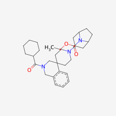 CCOC(=O)N1C2CCC1CC(N1CCC3(CC1)CN(C(=O)C1CCCCC1)Cc1ccccc13)C2